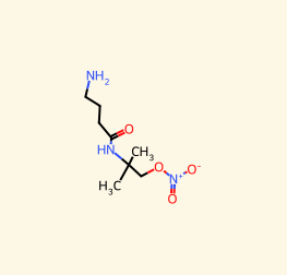 CC(C)(CO[N+](=O)[O-])NC(=O)CCCN